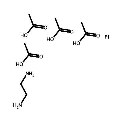 CC(=O)O.CC(=O)O.CC(=O)O.CC(=O)O.NCCN.[Pt]